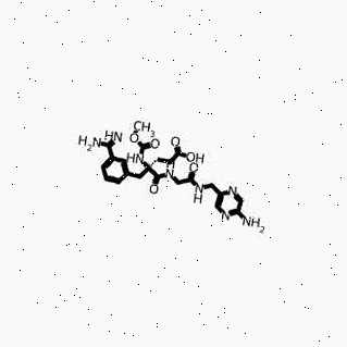 COC(=O)N[C@](CCC(=O)O)(Cc1cccc(C(=N)N)c1)C(=O)NCC(=O)NCc1cnc(N)cn1